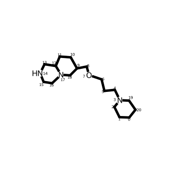 C1CCN(CCCOCC2CCC3CNCCN3C2)CC1